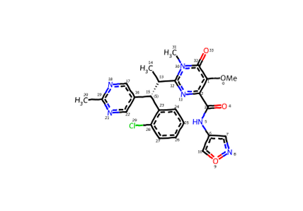 COc1c(C(=O)Nc2cnoc2)nc(C(C)[C@@H](c2cnc(C)nc2)c2ccccc2Cl)n(C)c1=O